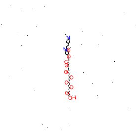 CN(C)c1ccc(C=Cc2nc3ccc(OCCC(=O)CC(=O)CCCC(=O)CCC(=O)CCC(=O)CCC(=O)CCC(=O)CCO)cc3o2)cc1